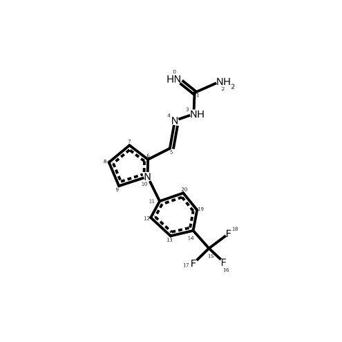 N=C(N)NN=Cc1cccn1-c1ccc(C(F)(F)F)cc1